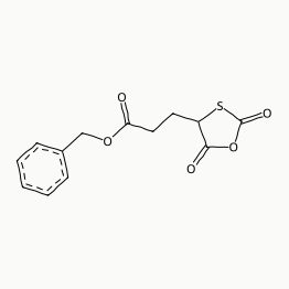 O=C(CCC1SC(=O)OC1=O)OCc1ccccc1